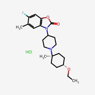 CCO[C@H]1CC[C@](C)(N2CCC(n3c(=O)oc4cc(F)c(C)cc43)CC2)CC1.Cl